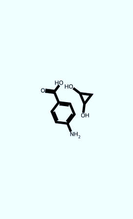 Nc1ccc(C(=O)O)cc1.OC1CC1O